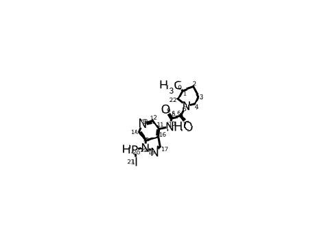 CC1CCCN(C(=O)C(=O)Nc2cncc3c2cnn3PI)C1